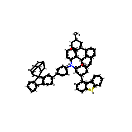 CC1C=C(c2cccc3cccc(-c4ccccc4N(c4ccc(-c5ccc6c(c5)C5(c7ccccc7-6)C6CC7CC(C6)CC5C7)cc4)c4cccc(-c5cccc6sc7ccccc7c56)c4)c23)C=CC1